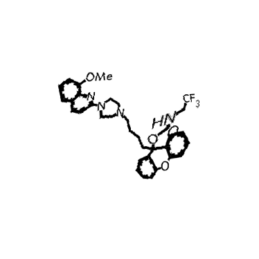 COc1cccc2ccc(N3CCN(CCCCC4(OC(=O)NCC(F)(F)F)c5ccccc5Oc5ccccc54)CC3)nc12